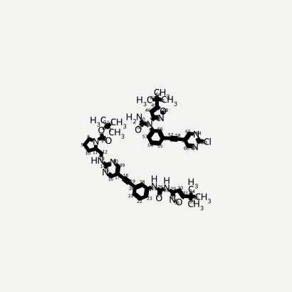 CC(C)(C)OC(=O)N1CCCC1CNc1ncc(C#Cc2cccc(NC(=O)Nc3cc(C(C)(C)C)on3)c2)cn1.CC(C)(C)c1cc(N(C(N)=O)c2cccc(C#Cc3cnc(Cl)nc3)c2)no1